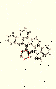 NN(c1cnccn1)[N+](c1ccnnn1)c1nnccc1N(c1ncccn1)N(Nc1ccccc1)c1ccccn1